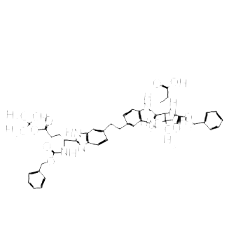 CC(C)(C)OC(=O)CC[C@H](NC(=O)OCc1ccccc1)c1nc2ccc(CCc3ccc4[nH]c([C@@](CCC(=O)O)(NC(=O)OCc5ccccc5)C(C)(C)C)nc4c3)cc2[nH]1